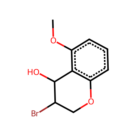 COc1cccc2c1C(O)C(Br)CO2